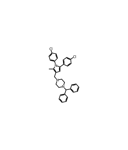 Cc1c(CN2CCN(C(c3ccccc3)c3ccccc3)CC2)cc(-c2ccc(Cl)cc2)n1-c1ccc(Cl)cc1